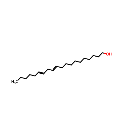 CCCCCC=CCC=CCCCCCCCCCCO